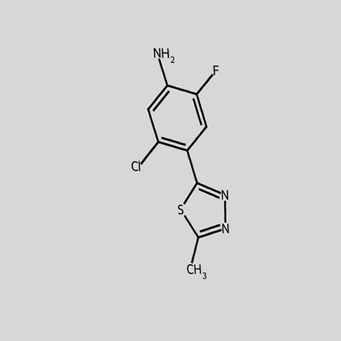 Cc1nnc(-c2cc(F)c(N)cc2Cl)s1